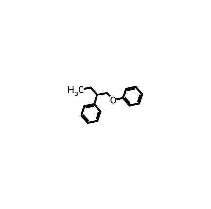 CCC(COc1ccccc1)c1ccccc1